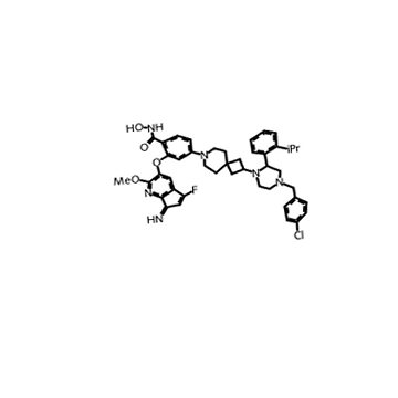 COc1nc2c(cc1Oc1cc(N3CCC4(CC3)CC(N3CCN(Cc5ccc(Cl)cc5)CC3c3ccccc3C(C)C)C4)ccc1C(=O)NO)C(F)=CC2=N